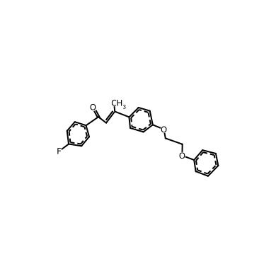 C/C(=C\C(=O)c1ccc(F)cc1)c1ccc(OCCOc2ccccc2)cc1